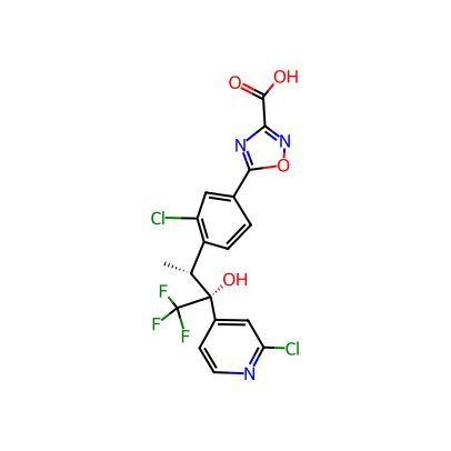 C[C@H](c1ccc(-c2nc(C(=O)O)no2)cc1Cl)[C@@](O)(c1ccnc(Cl)c1)C(F)(F)F